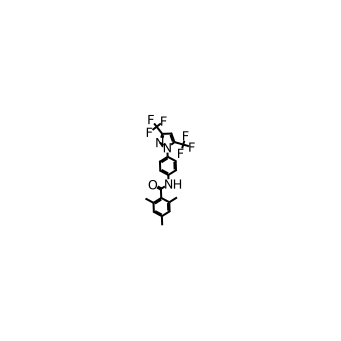 Cc1cc(C)c(C(=O)Nc2ccc(-n3nc(C(F)(F)F)cc3C(F)(F)F)cc2)c(C)c1